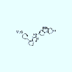 COc1ccc(-c2cccc3cnc(Nc4ccc(N5CCNCC5C)c([N+](=O)[O-])c4)nc23)cc1